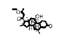 CCOC(C)=CC(=O)[C@@H]1[C@H](C)C[C@H]2[C@@H]3C[C@H](C)C4=CC(=O)CC[C@]4(C)[C@@]3(F)[C@@H](O)C[C@]12C